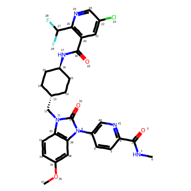 CNC(=O)c1ccc(-n2c(=O)n(C[C@H]3CC[C@H](NC(=O)c4cc(Cl)cnc4C(F)F)CC3)c3ccc(OC)cc32)cn1